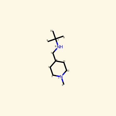 CN1CCC(CNC(C)(C)C)CC1